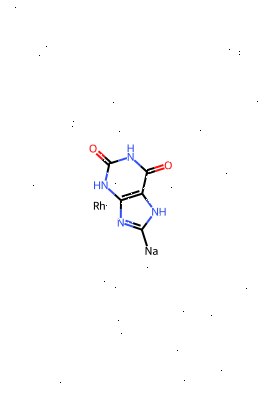 O=c1[nH]c(=O)c2[nH][c]([Na])nc2[nH]1.[Rh]